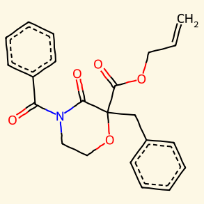 C=CCOC(=O)C1(Cc2ccccc2)OCCN(C(=O)c2ccccc2)C1=O